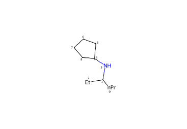 CCCC(CC)N[C]1CCCC1